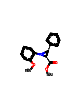 CCCCOC(=O)[C@H]1[C@@H](c2ccccc2)N1c1ccccc1OCCCC